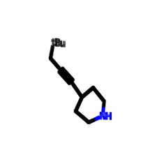 CC(C)(C)CC#CC1CCNCC1